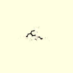 C=CCC(CC=C)=C(C)C(=O)N(N)CC=C